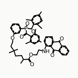 Cc1cc(C)c(C(=O)P(=O)(C(=O)c2c(C)cc(C)cc2C)c2cccc(OCCC(C)(C)CCC(C)C(=O)OCCNc3cccc4c3C(=O)c3ccccc3C4=O)c2)c(C)c1